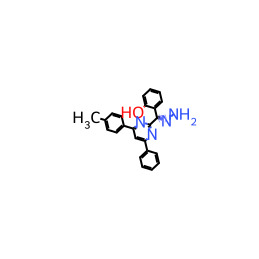 Cc1ccc(-c2cc(-c3ccccc3)nc(/C(=N/N)c3ccccc3O)n2)cc1